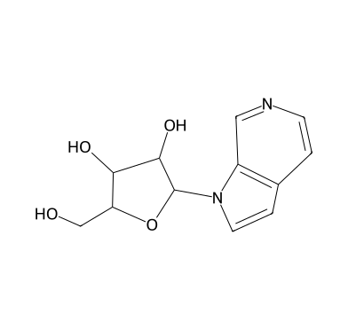 OCC1OC(n2ccc3ccncc32)C(O)C1O